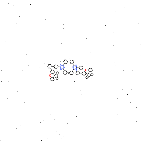 c1ccc(-c2nc(-c3ccc(-c4ccccc4-c4ccc5c(c4)Oc4ccccc4C54c5ccccc5-c5ccccc54)cc3)nc(-c3cccc(-c4ccc(-c5ccc(-c6ccc7c(c6)Oc6ccccc6C76c7ccccc7-c7ccccc76)cc5)c(-c5nc(-c6ccccc6)nc(-c6ccccc6)n5)c4)c3)n2)cc1